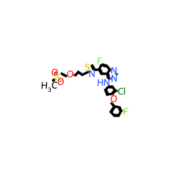 CCS(=O)(=O)CCOCCCc1nc(-c2cc3c(Nc4ccc(OCc5cccc(F)c5)c(Cl)c4)ncnc3cc2F)cs1